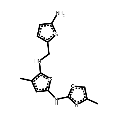 Cc1coc(Nc2cc(C)c(NCc3ccc(N)s3)s2)n1